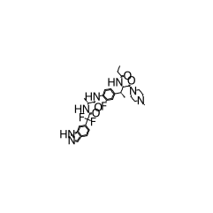 CCC(=O)N[C@@H](C(=O)N1CCN(C)CC1)[C@@H](C)c1ccc(NC(=O)[C@H](C)NC(=O)C(F)(F)c2ccc3cn[nH]c3c2)c(F)c1